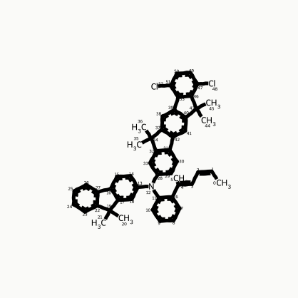 C/C=C\C=C(/C)c1ccccc1N(c1ccc2c(c1)C(C)(C)c1ccccc1-2)c1ccc2c(c1)C(C)(C)c1cc3c(cc1-2)C(C)(C)c1c(Cl)ccc(Cl)c1-3